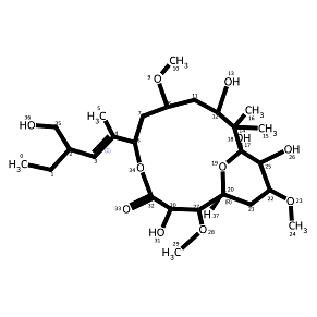 CCC(/C=C(\C)C1CC(OC)CC(O)C(C)(C)C2(O)O[C@H](CC(OC)C2O)C(OC)C(O)C(=O)O1)CO